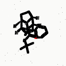 C[C@H](c1ccccn1)N1[C@@H]2CC[C@H]1[C@@H]1CC[C@H]2N1C(=O)OC(C)(C)C